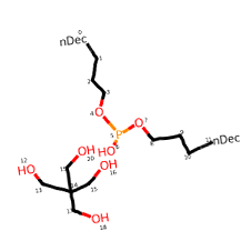 CCCCCCCCCCCCCOP(O)OCCCCCCCCCCCCC.OCC(CO)(CO)CO